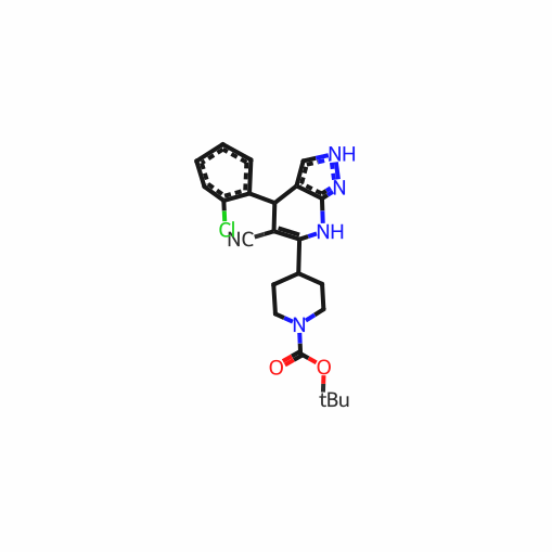 CC(C)(C)OC(=O)N1CCC(C2=C(C#N)C(c3ccccc3Cl)c3c[nH]nc3N2)CC1